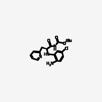 CC(C)(C)OC(=O)NC(=O)[C@H](Cc1ccccn1)Nc1cc(Cl)ccc1N